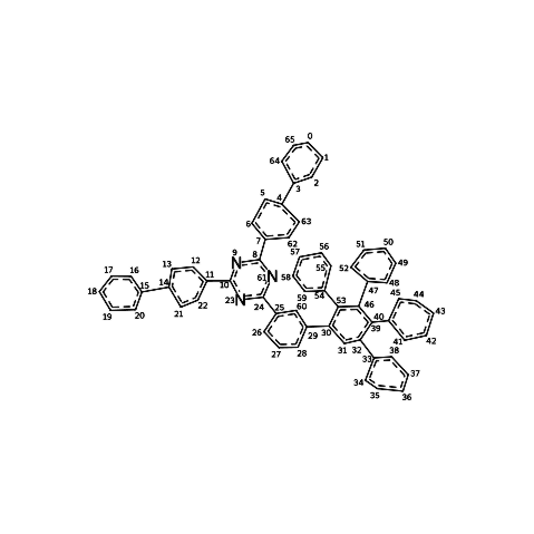 c1ccc(-c2ccc(-c3nc(-c4ccc(-c5ccccc5)cc4)nc(-c4cccc(-c5cc(-c6ccccc6)c(-c6ccccc6)c(-c6ccccc6)c5-c5ccccc5)c4)n3)cc2)cc1